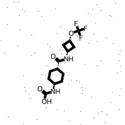 O=C(O)N[C@H]1CC[C@H](C(=O)N[C@H]2C[C@@H](OC(F)(F)F)C2)CC1